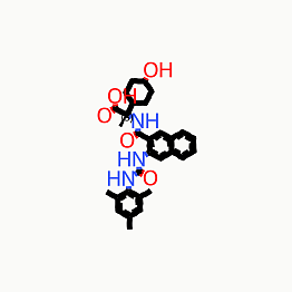 Cc1cc(C)c(NC(=O)Nc2cc3ccccc3cc2C(=O)N[C@](C)(C(=O)O)C2CCC(O)CC2)c(C)c1